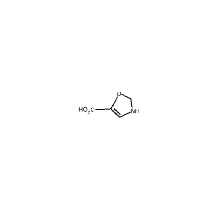 O=C(O)C1=CNCO1